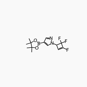 CC1(C)OB(c2cnn(C3C=C(F)C3(F)F)c2)OC1(C)C